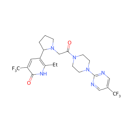 CCc1[nH]c(=O)c(C(F)(F)F)cc1C1CCCN1CC(=O)N1CCN(c2ncc(C(F)(F)F)cn2)CC1